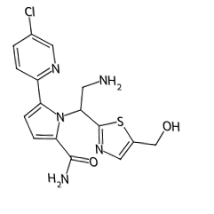 NCC(c1ncc(CO)s1)n1c(C(N)=O)ccc1-c1ccc(Cl)cn1